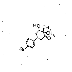 CC1(C)C(=O)CC(c2ccc(Br)cc2)CC1O